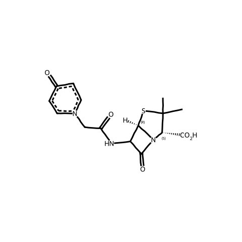 CC1(C)S[C@@H]2C(NC(=O)Cn3ccc(=O)cc3)C(=O)N2[C@H]1C(=O)O